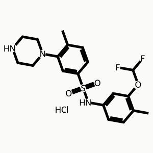 Cc1ccc(NS(=O)(=O)c2ccc(C)c(N3CCNCC3)c2)cc1OC(F)F.Cl